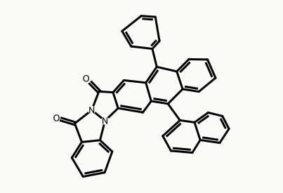 O=c1c2ccccc2n2c3cc4c(-c5cccc6ccccc56)c5ccccc5c(-c5ccccc5)c4cc3c(=O)n12